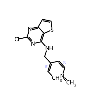 C=N/C=C\C(=C/C)CNc1nc(Cl)nc2ccsc12